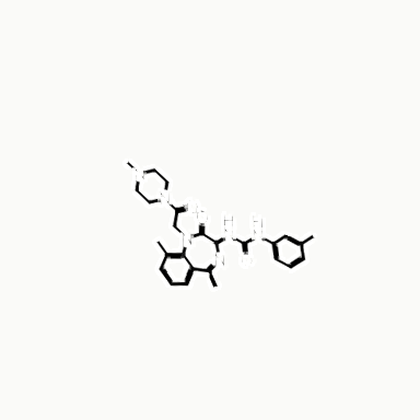 CC1=NC(NC(=O)Nc2cccc(C)c2)C(=O)N(CC(=O)N2CCN(C)CC2)c2c(C)cccc21